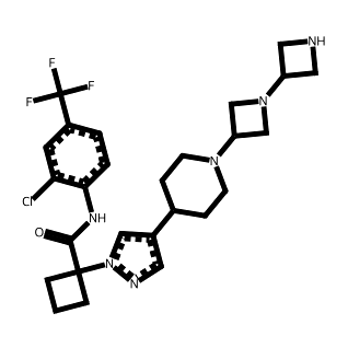 O=C(Nc1ccc(C(F)(F)F)cc1Cl)C1(n2cc(C3CCN(C4CN(C5CNC5)C4)CC3)cn2)CCC1